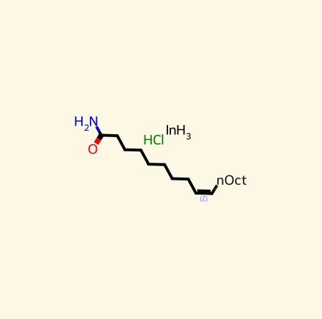 CCCCCCCC/C=C\CCCCCCCC(N)=O.Cl.[InH3]